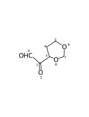 O=CC(=O)C1CCOCO1